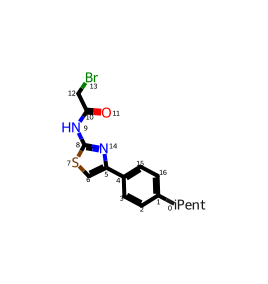 CCCC(C)c1ccc(-c2csc(NC(=O)CBr)n2)cc1